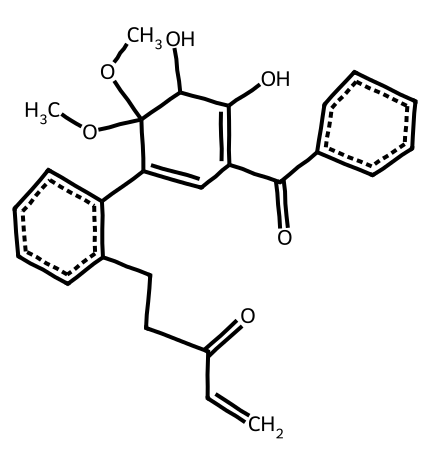 C=CC(=O)CCc1ccccc1C1=CC(C(=O)c2ccccc2)=C(O)C(O)C1(OC)OC